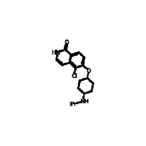 CC(C)N[C@H]1CC[C@@H](Oc2ccc3c(=O)[nH]ccc3c2Cl)CC1